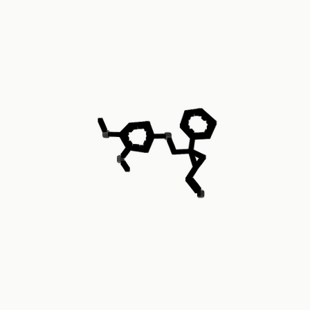 COc1ccc(OCC2(c3ccccc3)CC2C=O)cc1OC